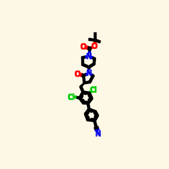 CC(C)(C)OC(=O)N1CCC(N2CC[C@@H](Cc3c(Cl)cc(-c4ccc(C#N)cc4)cc3Cl)C2=O)CC1